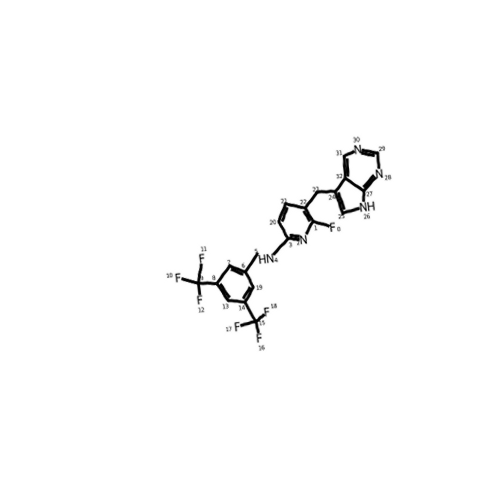 Fc1nc(NCc2cc(C(F)(F)F)cc(C(F)(F)F)c2)ccc1Cc1c[nH]c2ncncc12